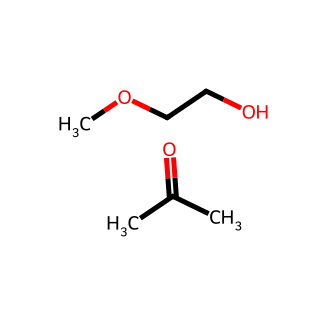 CC(C)=O.COCCO